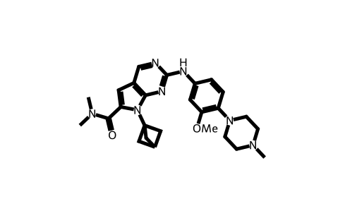 COc1cc(Nc2ncc3cc(C(=O)N(C)C)n(C45CC(C4)C5)c3n2)ccc1N1CCN(C)CC1